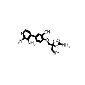 CC(C)CC(C)(COc1ccc(-c2ccnc(N)c2N)cc1C#N)OC(N)=O